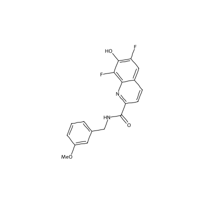 COc1cccc(CNC(=O)c2ccc3cc(F)c(O)c(F)c3n2)c1